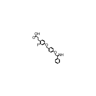 N=C(COc1ccc(COc2ccc(CCC(=O)O)c(F)c2)cc1)c1ccccc1